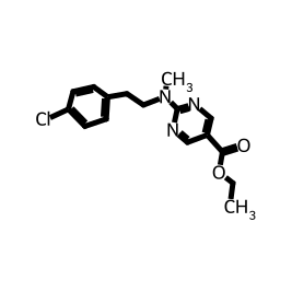 CCOC(=O)c1cnc(N(C)CCc2ccc(Cl)cc2)nc1